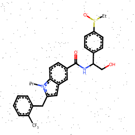 CC[S+]([O-])c1ccc(C(CO)NC(=O)c2ccc3c(c2)cc(Cc2ccccc2C(F)(F)F)n3C(C)C)cc1